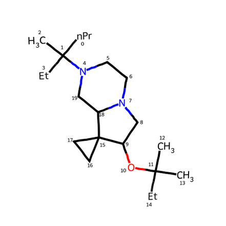 CCCC(C)(CC)N1CCN2CC(OC(C)(C)CC)C3(CC3)C2C1